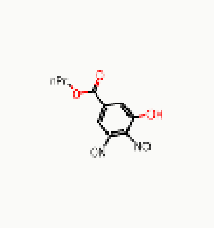 CCCOC(=O)c1cc(O)c(N=O)c(N=O)c1